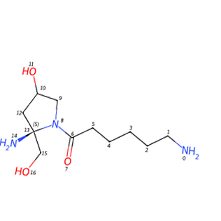 NCCCCCC(=O)N1CC(O)C[C@@]1(N)CO